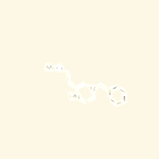 COCCC1CN(Cc2ccccc2)CCN1